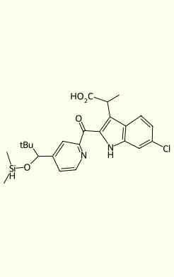 CC(C(=O)O)c1c(C(=O)c2cc(C(O[SiH](C)C)C(C)(C)C)ccn2)[nH]c2cc(Cl)ccc12